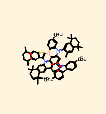 Cc1cc2c(cc1N1c3cc(C(C)(C)C)ccc3B3c4sc5cc6c(cc5c4N(c4cc5c(cc4-c4ccccc4)C(C)(C)CCC5(C)C)c4cc(-n5c7cc(C(C)(C)C)ccc7c7ccc(C(C)(C)C)cc75)cc1c43)C1(C)CCC6(C)CC1)C(C)(C)CCC2(C)C